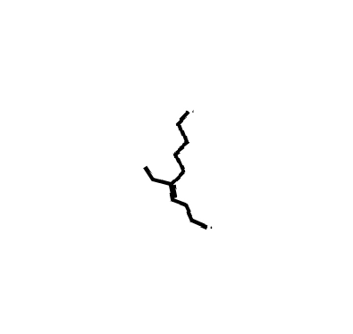 [CH2]CCC=C(CC)CCCC[CH2]